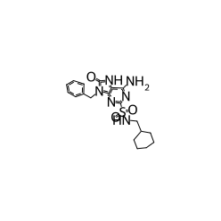 Nc1nc(S(=O)(=O)NCC2CCCCC2)nc2c1[nH]c(=O)n2Cc1ccccc1